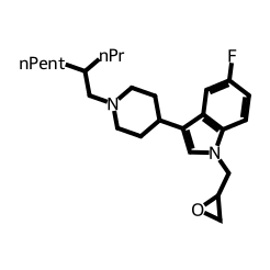 CCCCCC(CCC)CN1CCC(c2cn(CC3CO3)c3ccc(F)cc23)CC1